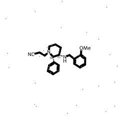 COc1ccccc1CN[C@H]1CCCN(CCC#N)[C@H]1c1ccccc1